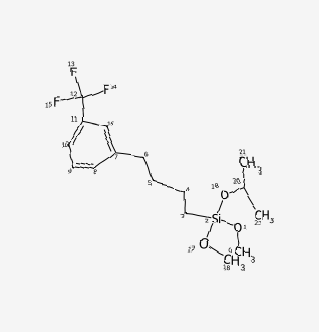 CO[Si](CCCCc1cccc(C(F)(F)F)c1)(OC)OC(C)C